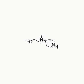 COCCN(C)C1CCN(I)CC1